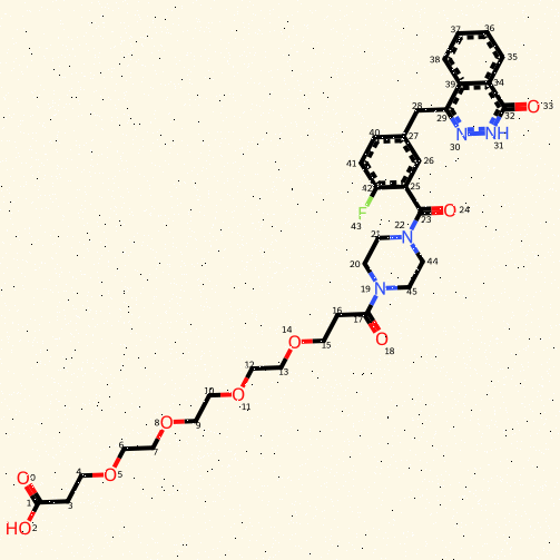 O=C(O)CCOCCOCCOCCOCCC(=O)N1CCN(C(=O)c2cc(Cc3n[nH]c(=O)c4ccccc34)ccc2F)CC1